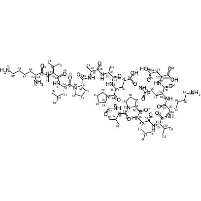 CC(C)C[C@H](NC(=O)[C@@H]1CCCN1C(=O)[C@@H](NC(=O)[C@@H]1CCCN1C(=O)[C@H](CCC(=O)O)NC(=O)[C@H](C)NC(=O)[C@H](C)NC(=O)[C@@H]1CCCN1C(=O)[C@H](CC(C)C)NC(=O)[C@@H](NC(=O)[C@@H](N)CCCCN)C(C)C)C(C)C)C(=O)N[C@H](C(=O)N[C@@H](CCCCN)C(=O)N[C@@H](CCC(N)=O)C(=O)N[C@@H](CC(=O)O)C(=O)O)C(C)C